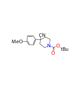 COc1ccc(C2(C#N)CCN(C(=O)OC(C)(C)C)CC2)cc1